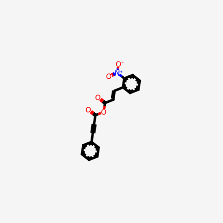 O=C(C#Cc1ccccc1)OC(=O)/C=C/c1ccccc1[N+](=O)[O-]